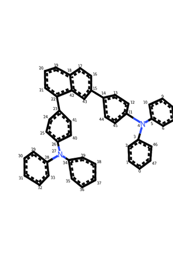 c1ccc(N(c2ccccc2)c2ccc(-c3ccc4cccc(-c5ccc(N(c6ccccc6)c6ccccc6)cc5)c4c3)cc2)cc1